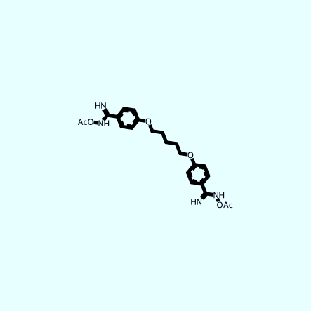 CC(=O)ONC(=N)c1ccc(OCCCCCOc2ccc(C(=N)NOC(C)=O)cc2)cc1